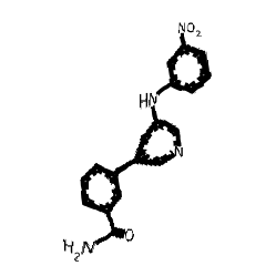 NC(=O)c1cccc(-c2cncc(Nc3cccc([N+](=O)[O-])c3)c2)c1